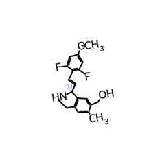 COc1cc(F)c(/C=C/C2NCCc3cc(C)c(CO)cc32)c(F)c1